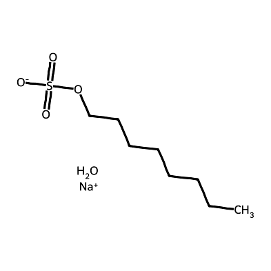 CCCCCCCCOS(=O)(=O)[O-].O.[Na+]